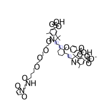 Cc1cc(S(=O)(=O)O)cc2c1N(OCCOCCOCCOCCCCC(=O)NCCN1C(=O)C=CC1=O)/C(=C/C=C1\CCCC(/C=C/C3=[N+](C)c4c(C)cc(S(=O)(=O)[O-])cc4C3(C)C)=C1Oc1ccc(S(=O)(=O)O)cc1)C2(C)C